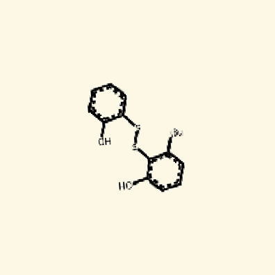 CC(C)(C)c1cccc(O)c1SSc1ccccc1O